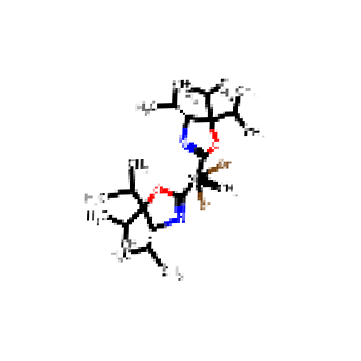 [CH2]=[Ni]([Br])([Br])([C]1=N[C@H](C(C)C)C(C(C)C)(C(C)C)O1)[C]1=N[C@H](C(C)C)C(C(C)C)(C(C)C)O1